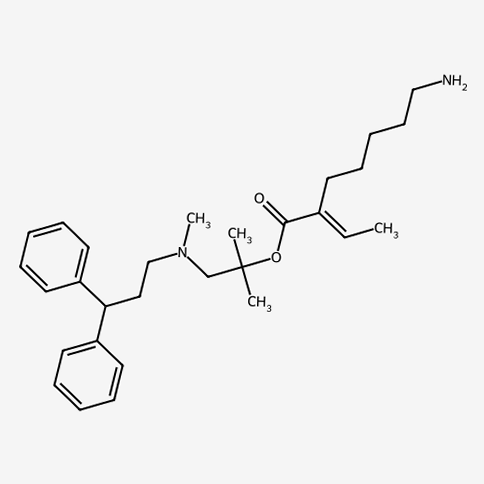 CC=C(CCCCCN)C(=O)OC(C)(C)CN(C)CCC(c1ccccc1)c1ccccc1